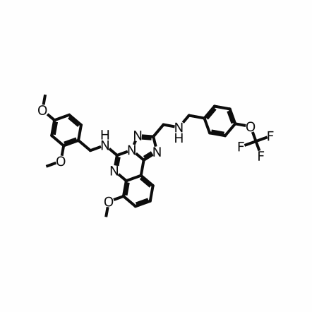 COc1ccc(CNc2nc3c(OC)cccc3c3nc(CNCc4ccc(OC(F)(F)F)cc4)nn23)c(OC)c1